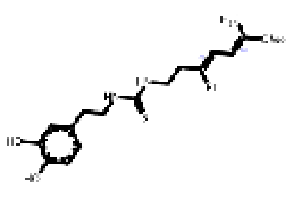 CC/C(=C\C=C(/C)OC)CCNC(=S)NCCc1ccc(O)c(O)c1